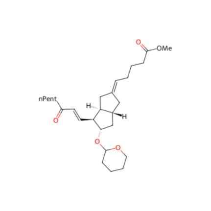 CCCCCC(=O)C=C[C@H]1[C@H]2CC(=CCCCC(=O)OC)C[C@@H]2C[C@@H]1OC1CCCCO1